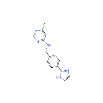 Clc1cc(NCc2ccc(-c3ncc[nH]3)cc2)ncn1